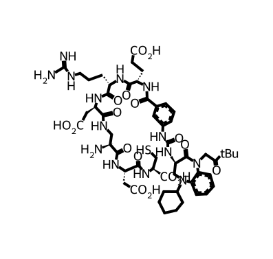 CC(C)(C)C(=O)CN1C(=O)[C@H](NC(=O)Nc2cccc(C(=O)N[C@@H](CCC(=O)O)C(=O)N[C@@H](CCCNC(=N)N)C(=O)N[C@H](CC(=O)O)C(=O)NC[C@H](N)C(=O)N[C@@H](CC(=O)O)C(=O)N[C@@H](CS)C(=O)O)c2)CN(C2CCCCC2)c2ccccc21